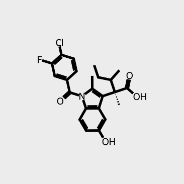 CCC(C)[C@@](C)(C(=O)O)c1c(C)n(C(=O)c2ccc(Cl)c(F)c2)c2ccc(O)cc12